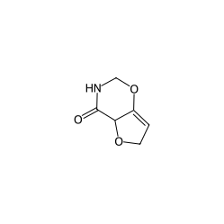 O=C1NCOC2=CCOC12